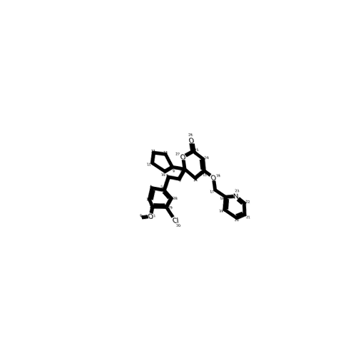 COc1ccc(CCC2(C3CCCC3)CC(OCc3ccccn3)=CC(=O)O2)cc1Cl